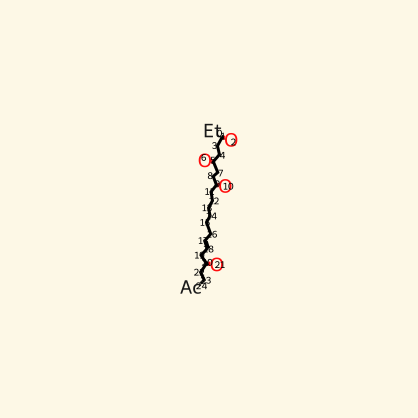 CCC(=O)CCC(=O)CCC(=O)CCCCCCC=CCC(=O)CCC(C)=O